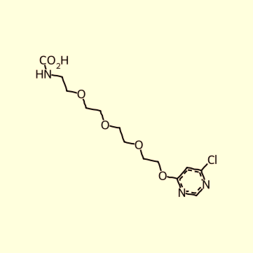 O=C(O)NCCOCCOCCOCCOc1cc(Cl)ncn1